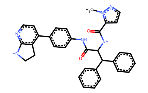 Cn1nccc1C(=O)NC(C(=O)Nc1ccc(-c2ccnc3c2CCN3)cc1)C(c1ccccc1)c1ccccc1